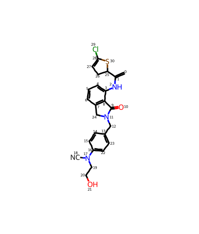 C=C(Nc1cccc2c1C(=O)N(Cc1ccc(N(C#N)CCO)cc1)C2)C1CC=C(Cl)S1